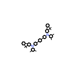 Cc1cc(C)cc(N(c2ccc(-c3ccc(-c4ccc(N(c5cc(C)cc(C)c5)c5ccc6c(c5)C(C)(C)c5ccccc5-6)cc4)cc3)cc2)c2ccc3c(c2)C(C)(C)c2ccccc2-3)c1